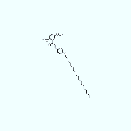 CCCCCCCCCCCCCCCCCCCSc1ccc(C=CC(=O)c2cc(OCC)ccc2OCC)cc1